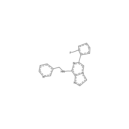 Fc1ccccc1-c1cn2ccnc2c(NCc2cccnc2)n1